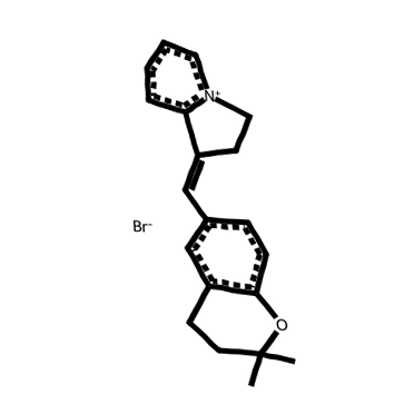 CC1(C)CCc2cc(C=C3CC[n+]4ccccc43)ccc2O1.[Br-]